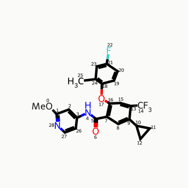 COc1cc(NC(=O)c2cc(C3CC3)c(C(F)(F)F)cc2Oc2ccc(F)cc2C)ccn1